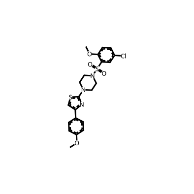 COc1ccc(-c2csc(N3CCN(S(=O)(=O)c4cc(Cl)ccc4OC)CC3)n2)cc1